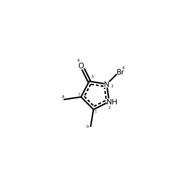 Cc1[nH]n(Br)c(=O)c1C